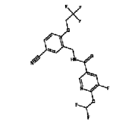 N#Cc1ccc(OCC(F)(F)F)c(CNC(=O)c2cnc(OC(F)F)c(F)c2)c1